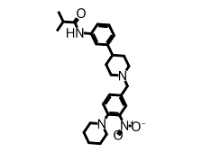 CC(C)C(=O)Nc1cccc(C2CCN(Cc3ccc(N4CCCCC4)c([N+](=O)[O-])c3)CC2)c1